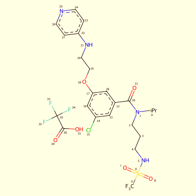 CC(C)N(CCCNS(=O)(=O)C(F)(F)F)C(=O)c1cc(Cl)cc(OCCNc2ccncc2)c1.O=C(O)C(F)(F)F